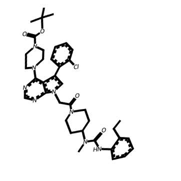 CCc1ccccc1NC(=O)N(C)C1CCN(C(=O)Cn2cc(-c3ccccc3Cl)c3c(N4CCN(C(=O)OC(C)(C)C)CC4)ncnc32)CC1